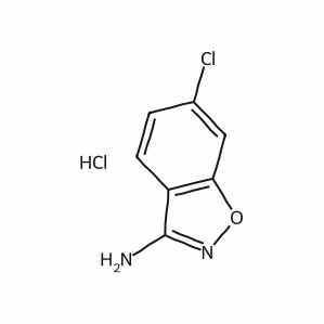 Cl.Nc1noc2cc(Cl)ccc12